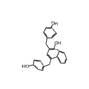 Oc1ccc(Cc2cc(Cc3ccc(O)cc3)c3ccccc3c2O)cc1